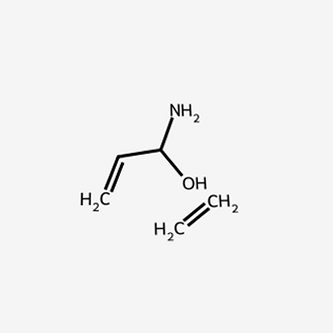 C=C.C=CC(N)O